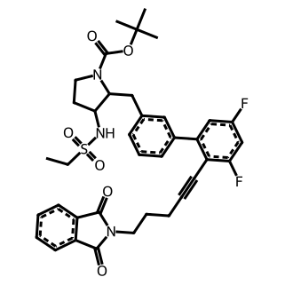 CCS(=O)(=O)NC1CCN(C(=O)OC(C)(C)C)C1Cc1cccc(-c2cc(F)cc(F)c2C#CCCCN2C(=O)c3ccccc3C2=O)c1